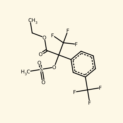 CCOC(=O)C(OS(C)(=O)=O)(c1cccc(C(F)(F)F)c1)C(F)(F)F